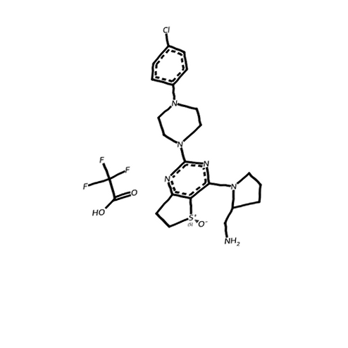 NCC1CCCN1c1nc(N2CCN(c3ccc(Cl)cc3)CC2)nc2c1[S@+]([O-])CC2.O=C(O)C(F)(F)F